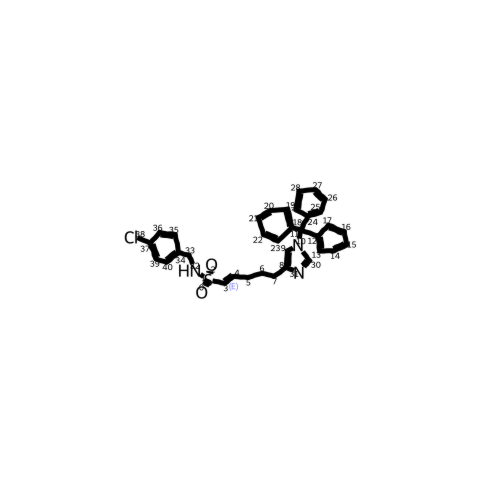 O=S(=O)(/C=C/CCCc1cn(C(c2ccccc2)(c2ccccc2)c2ccccc2)cn1)NCc1ccc(Cl)cc1